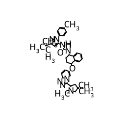 Cc1ccc(-n2nc(C(C)(C)C)cc2NC(=O)NC2CCC(Oc3ccc4nnc(C5CC(C)(C)CN5C)n4c3)c3ccccc32)cc1